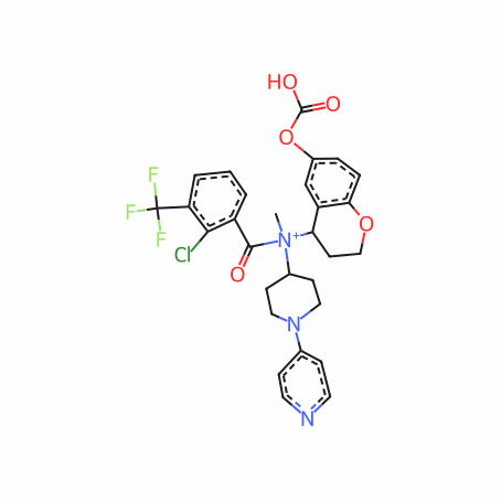 C[N+](C(=O)c1cccc(C(F)(F)F)c1Cl)(C1CCN(c2ccncc2)CC1)C1CCOc2ccc(OC(=O)O)cc21